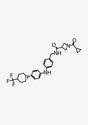 O=C(NCc1ccc(Nc2ccc(N3CCC(C(F)(F)F)CC3)cc2)cc1)C1CN(C(=O)C2CC2)C1